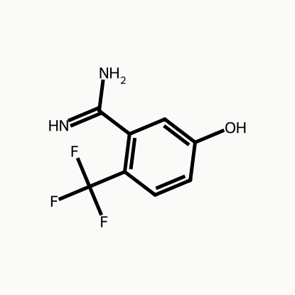 N=C(N)c1cc(O)ccc1C(F)(F)F